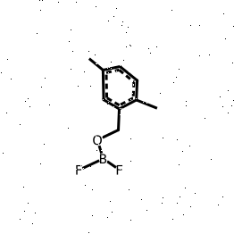 Cc1ccc(C)c(COB(F)F)c1